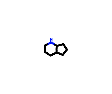 C1CN[C]2CCCC2C1